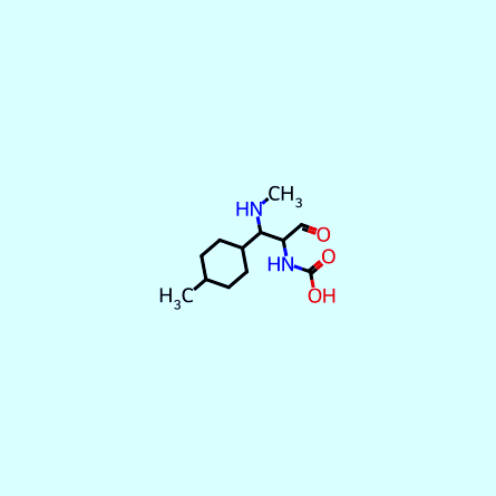 CNC(C1CCC(C)CC1)C(C=O)NC(=O)O